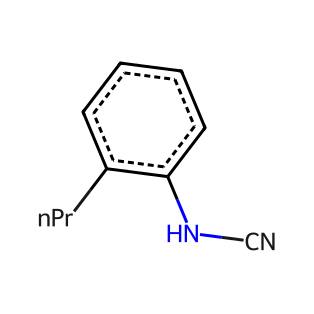 CCCc1ccccc1NC#N